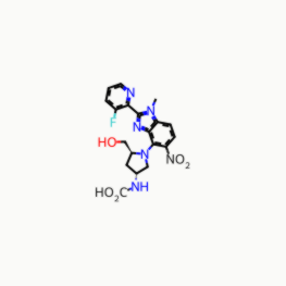 Cn1c(-c2ncccc2F)nc2c(N3C[C@H](NC(=O)O)C[C@H]3CO)c([N+](=O)[O-])ccc21